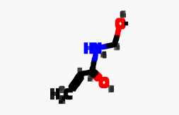 C=CC(=O)NC[O]